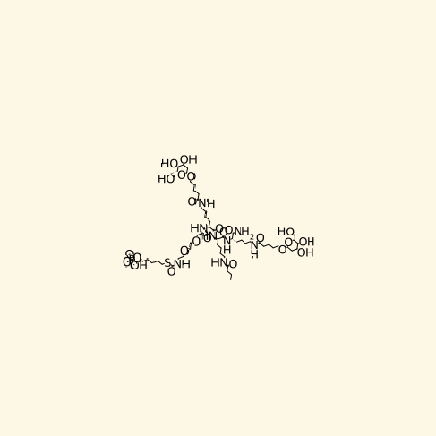 CCCC(=O)NCCCC[C@H](NC(=O)[C@H](CCCCNC(=O)CCCCO[C@H]1C[C@@H](O)[C@@H](O)[C@@H](CO)O1)NC(=O)COCCOCCNC(=O)SCCCCCOP(=O)(O)OC)C(=O)N[C@@H](CCCCNC(=O)CCCCO[C@H]1C[C@@H](O)[C@@H](O)[C@@H](CO)O1)C(N)=O